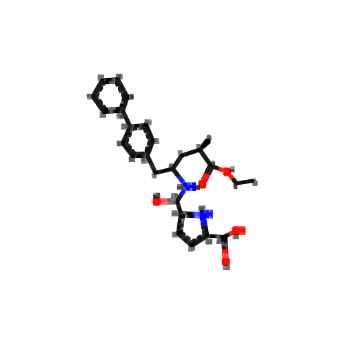 CCOC(=O)[C@H](C)CC(Cc1ccc(-c2ccccc2)cc1)NC(=O)c1ccc(C(=O)O)[nH]1